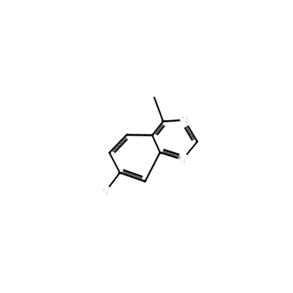 Nc1ccc2c(I)ncnc2c1